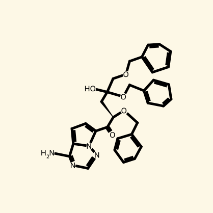 Nc1ncnn2c(C(=O)[C@@H](CC(O)(COCc3ccccc3)OCc3ccccc3)OCc3ccccc3)ccc12